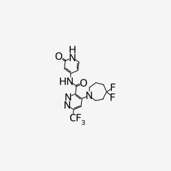 O=C(Nc1cc[nH]c(=O)c1)c1nnc(C(F)(F)F)cc1N1CCCC(F)(F)CC1